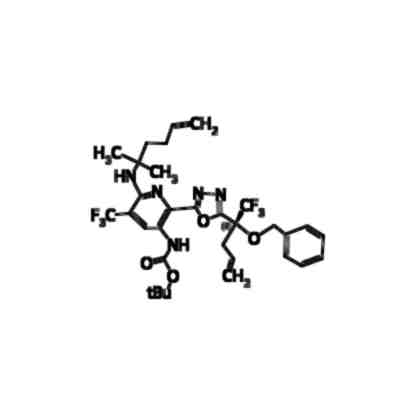 C=CCCC(C)(C)Nc1nc(-c2nnc([C@@](CC=C)(OCc3ccccc3)C(F)(F)F)o2)c(NC(=O)OC(C)(C)C)cc1C(F)(F)F